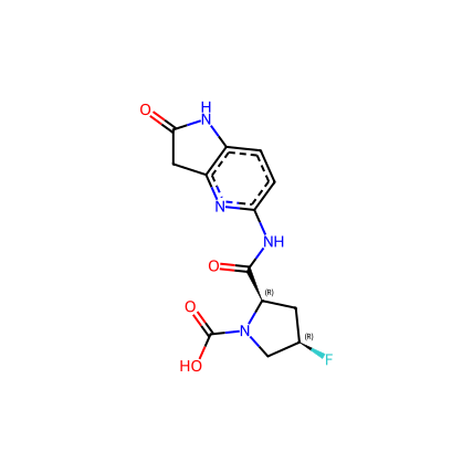 O=C1Cc2nc(NC(=O)[C@H]3C[C@@H](F)CN3C(=O)O)ccc2N1